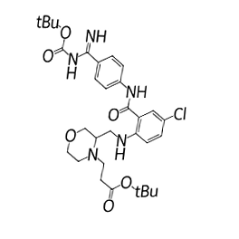 CC(C)(C)OC(=O)CCN1CCOCC1CNc1ccc(Cl)cc1C(=O)Nc1ccc(C(=N)NC(=O)OC(C)(C)C)cc1